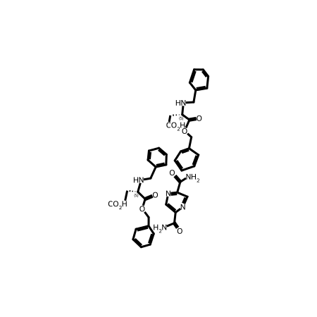 NC(=O)c1cnc(C(N)=O)cn1.O=C(O)C[C@H](NCc1ccccc1)C(=O)OCc1ccccc1.O=C(O)C[C@H](NCc1ccccc1)C(=O)OCc1ccccc1